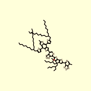 CCCCCCCCCCC(CCCCCCCC)Cc1ccc(-c2c3cc(-c4cnc(-c5cc6c(s5)-c5sc(-c7ncc(C)c8nsnc78)cc5C6(CC(CC)CCCC)CC(CC)CCCC)c5nsnc45)sc3c(-c3ccc(CC(CCCCCCCC)CCCCCCCCCC)s3)c3cc(C)sc23)s1